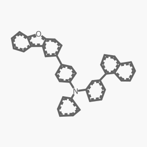 c1ccc(N(c2ccc(-c3ccc4oc5ccccc5c4c3)cc2)c2cccc(-c3cccc4ccccc34)c2)cc1